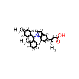 CC(=CC(=O)O)c1ccc2c(ccn2C(c2ccc(C)cc2)c2ccccc2C)c1